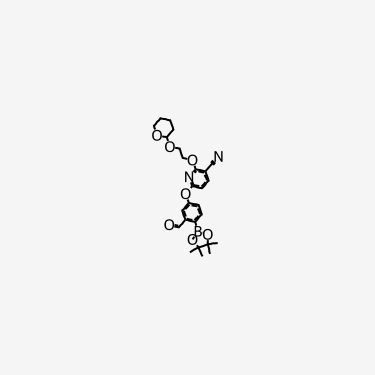 CC1(C)OB(c2ccc(Oc3ccc(C#N)c(OCCOC4CCCCO4)n3)cc2C=O)OC1(C)C